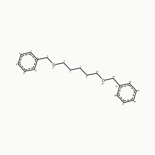 [CH](CCCOCc1ccccc1)COCc1ccccc1